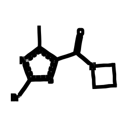 Cc1nc(Br)sc1C(=O)N1CCC1